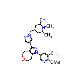 COc1ncc(-n2nc(-c3cnn(CC4CC(C)N(C)C(C)C4)c3)c3c2CCOCC3)cc1C